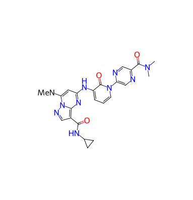 CNc1cc(Nc2cccn(-c3cnc(C(=O)N(C)C)cn3)c2=O)nc2c(C(=O)NC3CC3)cnn12